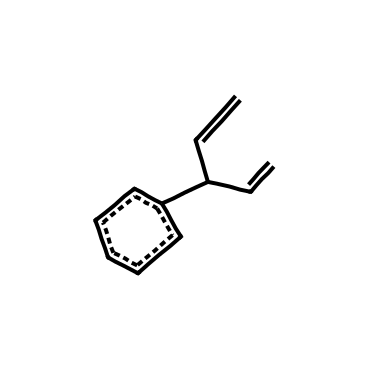 C=CC(C=C)c1ccccc1